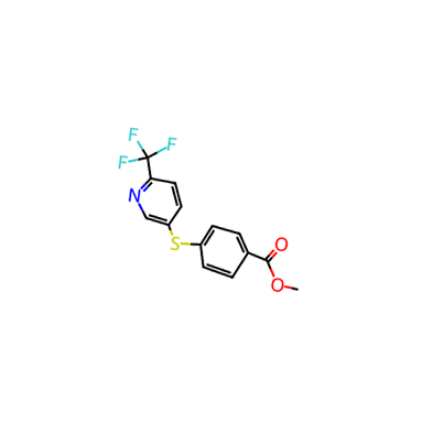 COC(=O)c1ccc(Sc2ccc(C(F)(F)F)nc2)cc1